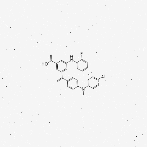 C=C(O)c1cc(Nc2ccccc2F)cc(C(=C)c2ccc(N(C)c3ccc(Cl)cc3)cc2)c1